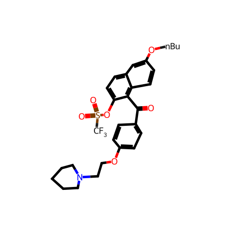 CCCCOc1ccc2c(C(=O)c3ccc(OCCN4CCCCC4)cc3)c(OS(=O)(=O)C(F)(F)F)ccc2c1